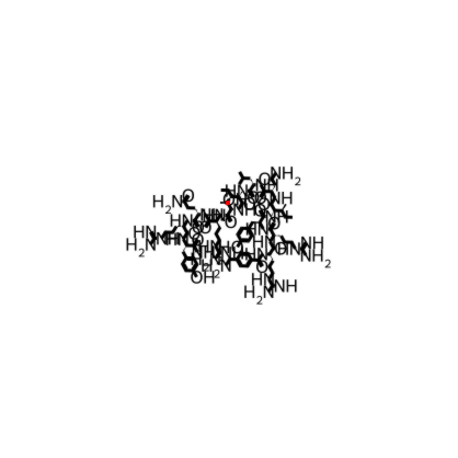 CC[C@H](C)[C@H](NC(=O)[C@H](Cc1ccc(O)cc1)NC(=O)[C@H](CCCNC(=N)N)NC(=O)[C@H](CCCNC(=N)N)NC(=O)c1ccc(CN)cc1)C(=O)N[C@@H](CC(N)=O)C(=O)N[C@@H](CC(C)C)C(=O)N[C@H](C(=O)N[C@H](C(=O)N[C@@H](CCCNC(=N)N)C(=O)N[C@@H](CCC(N)=O)C(=O)N[C@@H](CCCNC(=N)N)C(=O)N[C@@H](Cc1ccc(O)cc1)C(N)=O)[C@@H](C)O)[C@@H](C)CC